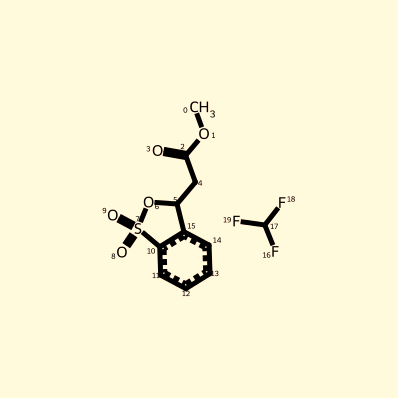 COC(=O)CC1OS(=O)(=O)c2ccccc21.FC(F)F